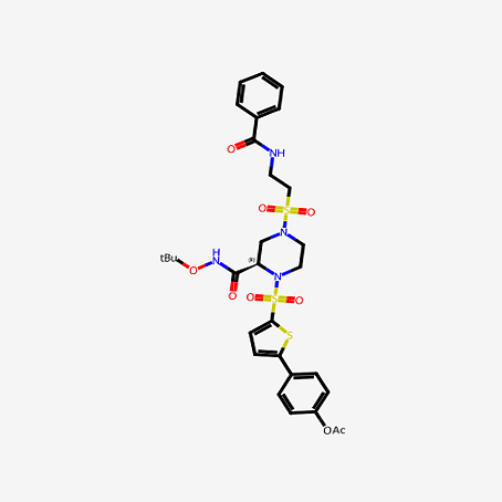 CC(=O)Oc1ccc(-c2ccc(S(=O)(=O)N3CCN(S(=O)(=O)CCNC(=O)c4ccccc4)C[C@@H]3C(=O)NOC(C)(C)C)s2)cc1